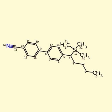 CCCCC(c1ccc(-c2ccc(C#N)cc2)cc1)[Si](C)(C)C